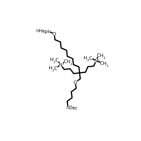 CCCCCCCCCCCCCCOCC(CCCCCCCCOCCCCCCC)(CCC[N+](C)(C)C)CCC[N+](C)(C)C